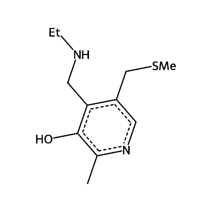 CCNCc1c(CSC)cnc(C)c1O